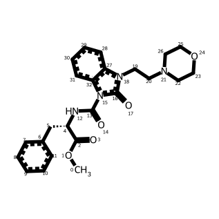 COC(=O)[C@H](Cc1ccccc1)NC(=O)n1c(=O)n(CCN2CCOCC2)c2ccccc21